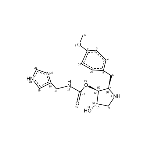 COc1ccc(C[C@H]2NC[C@H](O)[C@H]2OC(=O)NCc2c[nH]cn2)cc1